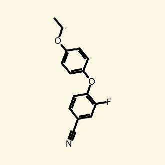 C[CH]Oc1ccc(Oc2ccc(C#N)cc2F)cc1